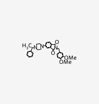 COc1ccc(CN2C(=O)c3ccc(N4CCN(C(C)c5ccccc5)CC4)cc3C2=O)cc1OC